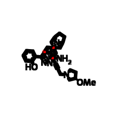 CO[C@H]1CCN(CC#Cc2cc(N3C4CCC3CN(c3cc(-c5ccccc5O)nnc3N)C4)ccn2)C1